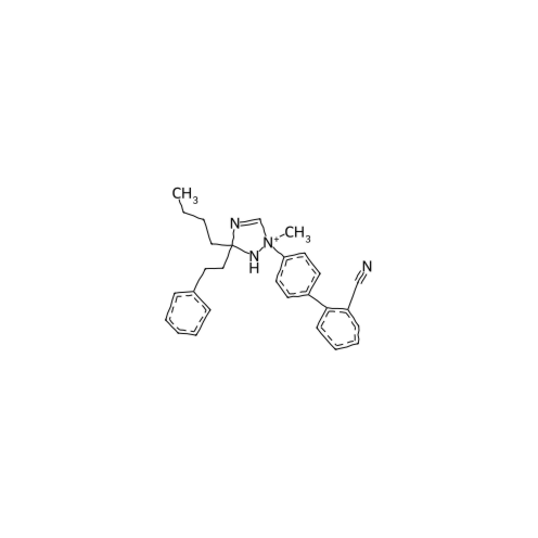 CCCCC1(CCc2ccccc2)N=C[N+](C)(c2ccc(-c3ccccc3C#N)cc2)N1